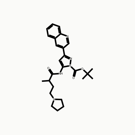 CC(CCN1CCCC1)C(=O)Nc1cc(-c2cnc3ccccc3c2)nn1C(=O)OC(C)(C)C